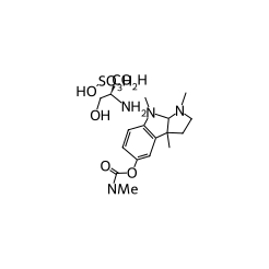 CNC(=O)Oc1ccc2c(c1)C1(C)CCN(C)C1N2C.N[C@@H](CO)C(=O)O.O=S(=O)(O)O